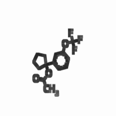 CC(=O)OC1(c2cccc(OC(F)(F)F)c2)CCCC1